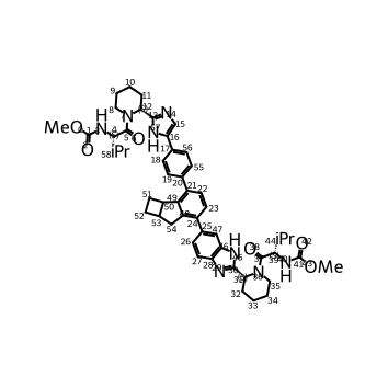 COC(=O)N[C@H](C(=O)N1CCCC[C@H]1c1ncc(-c2ccc(-c3ccc(-c4ccc5nc([C@@H]6CCCCN6C(=O)[C@@H](NC(=O)OC)C(C)C)[nH]c5c4)c4c3C3CCC3C4)cc2)[nH]1)C(C)C